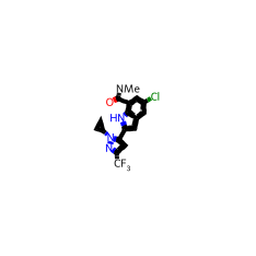 CNC(=O)c1cc(Cl)cc2cc(-c3cc(C(F)(F)F)nn3C3CC3)[nH]c12